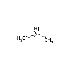 CCCCC1=[C]([Hf])CC(CCC)=C1